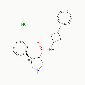 Cl.O=C(NC1CC(c2ccccc2)C1)[C@@H]1CNC[C@H]1c1ccccc1